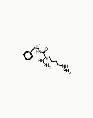 C[C@@H](Cc1ccccc1)NC(=O)[C@H](CCCCNP)NP